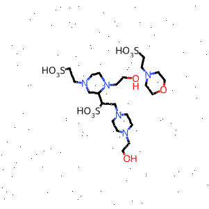 O=S(=O)(O)CCN1CCN(CCO)C(C(CN2CCN(CCO)CC2)S(=O)(=O)O)C1.O=S(=O)(O)CCN1CCOCC1